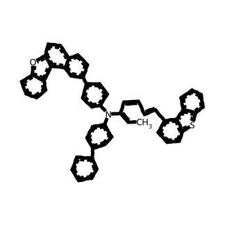 C\C=C(/C=C\C=C\c1cccc2sc3ccccc3c12)N(c1ccc(-c2ccccc2)cc1)c1ccc(-c2ccc3ccc4oc5ccccc5c4c3c2)cc1